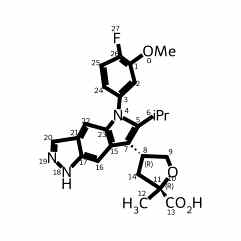 COc1cc(-n2c(C(C)C)c([C@@H]3CO[C@@](C)(C(=O)O)C3)c3cc4[nH]ncc4cc32)ccc1F